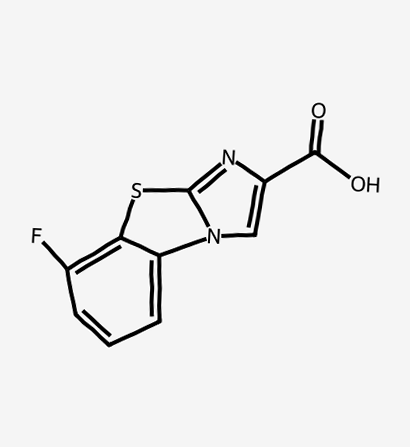 O=C(O)c1cn2c(n1)sc1c(F)cccc12